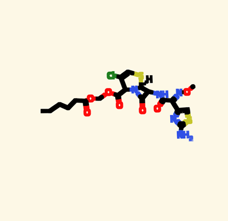 CCCCCC(=O)OCOC(=O)C1C(Cl)=CS[C@H]2C(NC(=O)C(=NOC)c3csc(N)n3)C(=O)N12